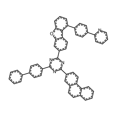 c1ccc(-c2ccc(-c3nc(-c4ccc5c(ccc6ccccc65)c4)nc(-c4ccc5c(c4)oc4cccc(-c6ccc(-c7ccccn7)cc6)c45)n3)cc2)cc1